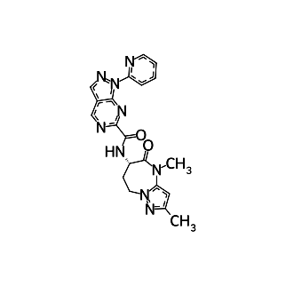 Cc1cc2n(n1)CC[C@H](NC(=O)c1ncc3cnn(-c4ccccn4)c3n1)C(=O)N2C